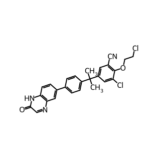 CC(C)(c1ccc(-c2ccc3[nH]c(=O)cnc3c2)cc1)c1cc(Cl)c(OCCCl)c(C#N)c1